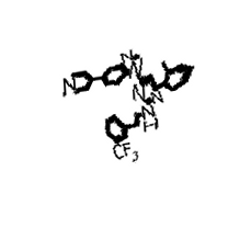 Cc1ccccc1-c1cc(-n2cnc3cc(-c4ccncc4)ccc32)nc(NCCc2cccc(C(F)(F)F)c2)n1